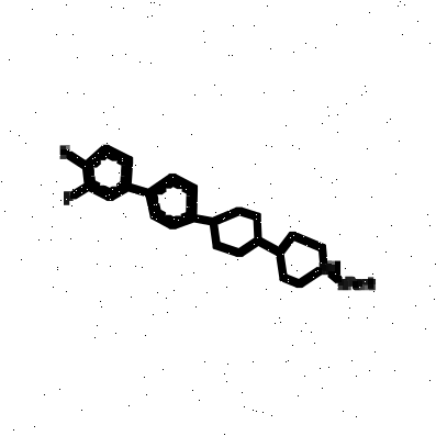 CCCCC[SiH]1CCC(C2CCC(c3ccc(-c4ccc(F)c(F)c4)cc3)CC2)CC1